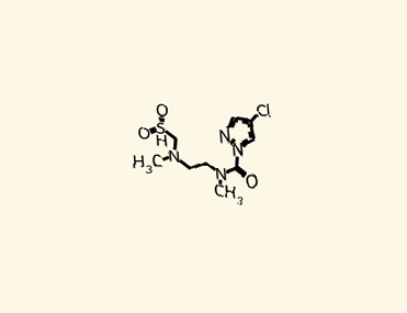 CN(CCN(C)C(=O)n1cc(Cl)cn1)C[SH](=O)=O